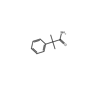 CC(C)(C(N)=O)c1c[c]ccc1